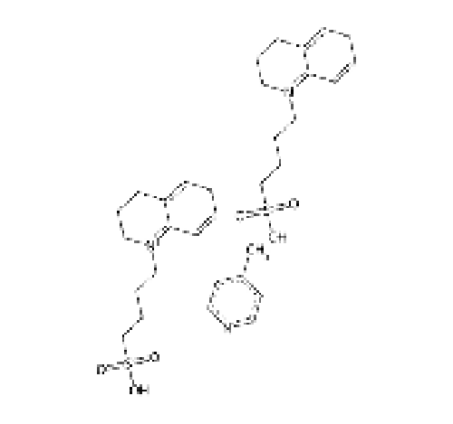 Cc1ccncc1.O=S(=O)(O)CCCC[N+]1=C2C=CCC=C2CCC1.O=S(=O)(O)CCCC[N+]1=C2C=CCC=C2CCC1